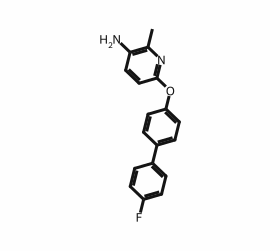 Cc1nc(Oc2ccc(-c3ccc(F)cc3)cc2)ccc1N